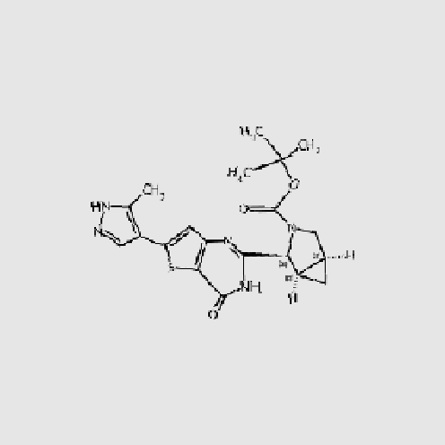 Cc1[nH]ncc1-c1cc2nc([C@@H]3[C@@H]4C[C@@H]4CN3C(=O)OC(C)(C)C)[nH]c(=O)c2s1